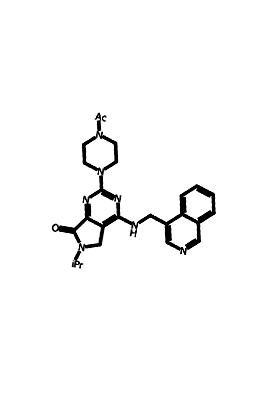 CC(=O)N1CCN(c2nc(NCc3cncc4ccccc34)c3c(n2)C(=O)N(C(C)C)C3)CC1